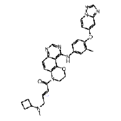 Cc1cc(Nc2ncnc3ccc4c(c23)OCCN4C(=O)/C=C/CN(C)C2CCC2)ccc1Oc1ccn2ncnc2c1